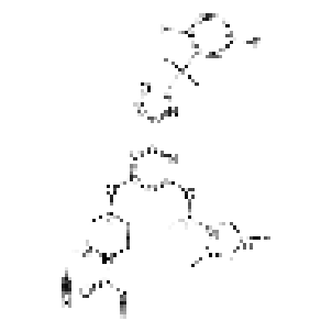 C=CC(=O)N1CC[C@H](Oc2cc(O[C@@H](C)[C@@H]3C[C@@H](F)CN3C)nc(-c3noc(C(C)(C)c4cc(F)ccc4F)n3)n2)C[C@H]1CC#N